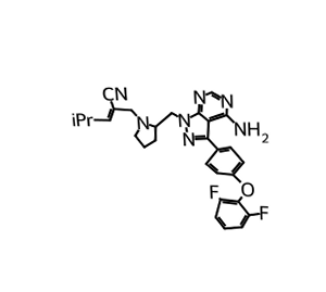 CC(C)C=C(C#N)CN1CCCC1Cn1nc(-c2ccc(Oc3c(F)cccc3F)cc2)c2c(N)ncnc21